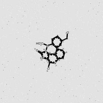 O=C(O)N(c1ccc(CCl)cc1)n1c(=O)[nH]c2c(Cl)nc3ccccc3c21